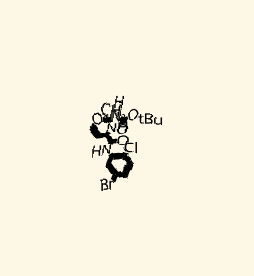 CC(C)(C)OC(=O)N[C@@]1(C)NC(C(=O)Nc2cc(Br)ccc2Cl)C#CO1